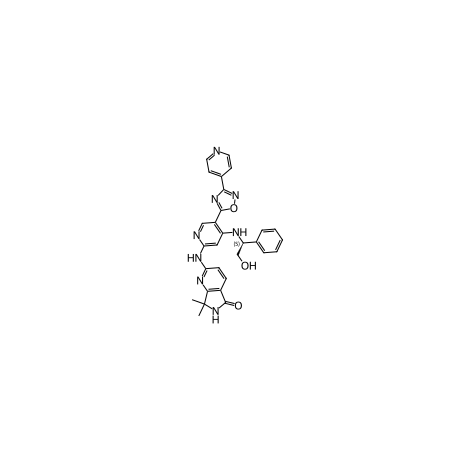 CC1(C)NC(=O)c2ccc(Nc3cc(N[C@H](CO)c4ccccc4)c(-c4nc(-c5ccncc5)no4)cn3)nc21